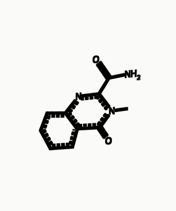 Cn1c(C(N)=O)nc2ccccc2c1=O